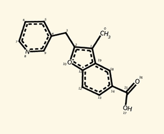 Cc1c(Cc2cccnc2)oc2ccc(C(=O)O)cc12